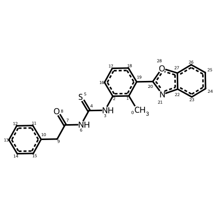 Cc1c(NC(=S)NC(=O)Cc2ccccc2)cccc1-c1nc2ccccc2o1